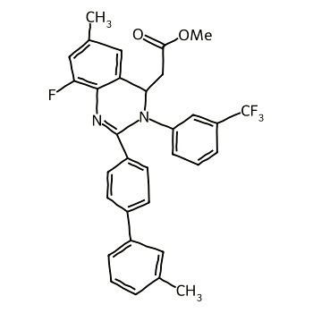 COC(=O)CC1c2cc(C)cc(F)c2N=C(c2ccc(-c3cccc(C)c3)cc2)N1c1cccc(C(F)(F)F)c1